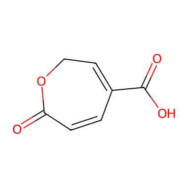 O=C1C=CC(C(=O)O)=CCO1